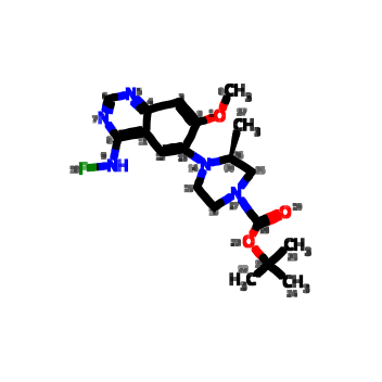 COc1cc2ncnc(NF)c2cc1N1CCN(C(=O)OC(C)(C)C)C[C@@H]1C